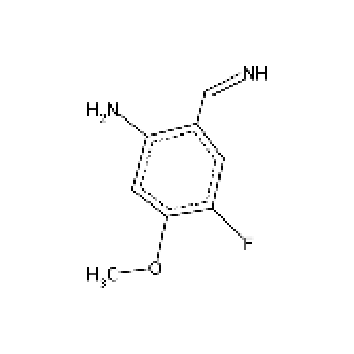 COc1cc(N)c(C=N)cc1F